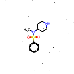 CN(C1CCNCC1)S(=O)(=O)c1ccccc1